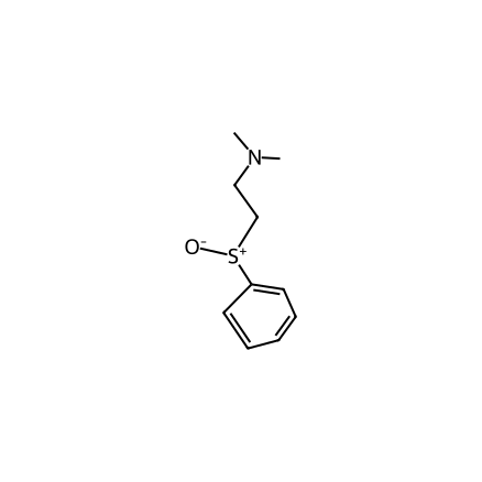 CN(C)CC[S+]([O-])c1ccccc1